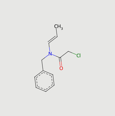 CC=CN(Cc1ccccc1)C(=O)CCl